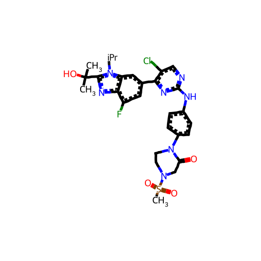 CC(C)n1c(C(C)(C)O)nc2c(F)cc(-c3nc(Nc4ccc(N5CCN(S(C)(=O)=O)CC5=O)cc4)ncc3Cl)cc21